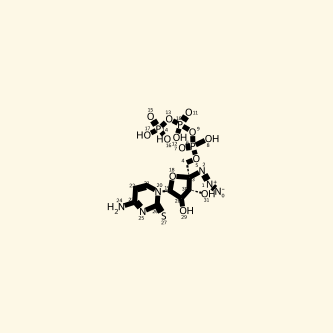 [N-]=[N+]=N[C@]1(COP(=O)(O)OP(=O)(O)OP(=O)(O)O)O[C@@H](n2ccc(N)nc2=S)C(O)[C@H]1O